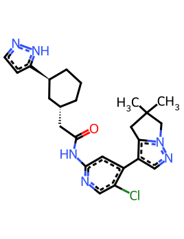 CC1(C)Cc2c(-c3cc(NC(=O)C[C@H]4CCC[C@H](c5ccn[nH]5)C4)ncc3Cl)cnn2C1